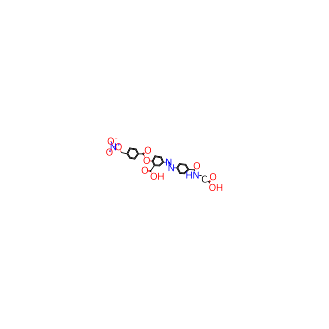 O=C(O)CCNC(=O)c1ccc(N=Nc2ccc(OC(=O)c3ccc(CO[N+](=O)[O-])cc3)c(C(=O)O)c2)cc1